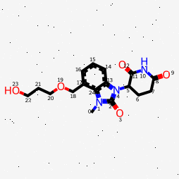 Cn1c(=O)n(C2CCC(=O)NC2=O)c2cccc(COCCCO)c21